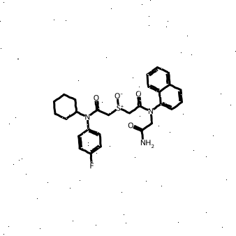 NC(=O)CN(C(=O)C[S+]([O-])CC(=O)N(c1ccc(F)cc1)C1CCCCC1)c1cccc2ccccc12